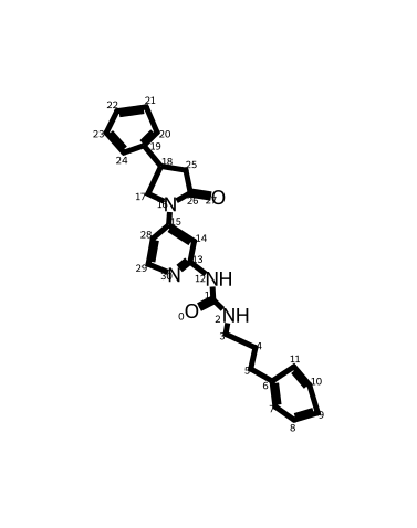 O=C(NCCCc1ccccc1)Nc1cc(N2CC(c3ccccc3)CC2=O)ccn1